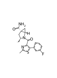 [CH2][C@H]1C[C@@]2(C(N)=O)C[C@@H]2N1C(=O)c1nc(C)sc1-c1cccc(F)c1